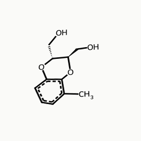 Cc1cccc2c1O[C@H](CO)[C@@H](CO)O2